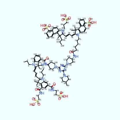 CCCN1/C(=C/C=C/C2=[N+](CCC)c3cc(C(=O)NCCS(=O)(=O)O)cc(C(=O)NCCS(=O)(=O)O)c3C2(C)C)C(C)(C)c2c(C(=O)NC3CCN(c4nc(N5CCC(C)CC5)nc(N5CCC(NC(=O)CCCCCN6/C(=C/C=C/C7=[N+](CCCS(=O)(=O)O)c8ccc9c(S(=O)(=O)O)cccc9c8C7(C)CCC)C(C)(C)c7c6ccc6c(S(=O)(=O)O)cccc76)CC5)n4)CC3)cccc21